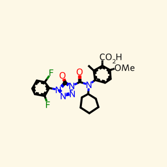 COc1ccc(N(C(=O)n2nnn(-c3c(F)cccc3F)c2=O)C2CCCCC2)c(C)c1C(=O)O